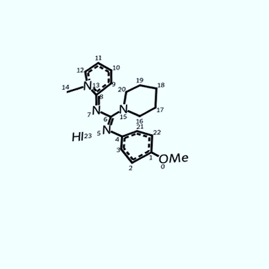 COc1ccc(N=C(N=c2ccccn2C)N2CCCCC2)cc1.I